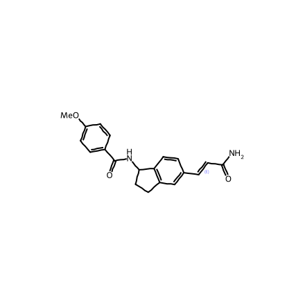 COc1ccc(C(=O)NC2CCc3cc(/C=C/C(N)=O)ccc32)cc1